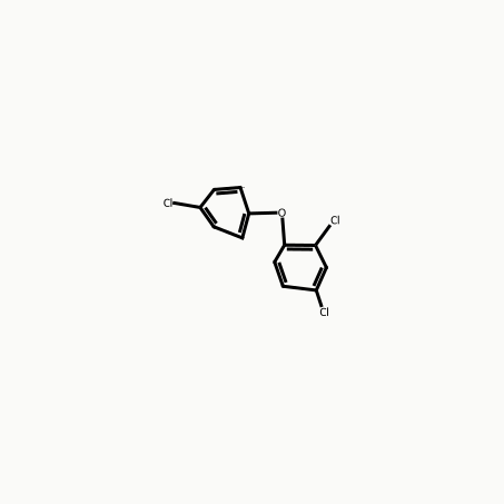 Clc1c[c]c(Oc2ccc(Cl)cc2Cl)cc1